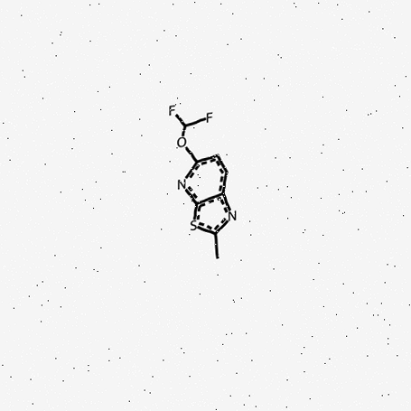 Cc1nc2ccc(OC(F)F)nc2s1